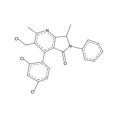 Cc1nc2c(c(-c3ccc(Cl)cc3Cl)c1CCl)C(=O)N(c1ccccc1)C2C